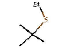 CCSC(C)(C)C